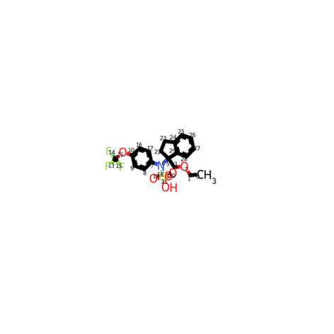 CCOC(=O)C1(N(c2ccc(OC(F)(F)F)cc2)S(=O)(=O)O)CCc2ccccc21